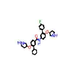 O=C(Nc1ccc(O[C@H]2CCNC2)c(-c2ccc(F)cc2)c1)c1ccc(O[C@H]2CCNC2)c(C2=CCCCC2)c1